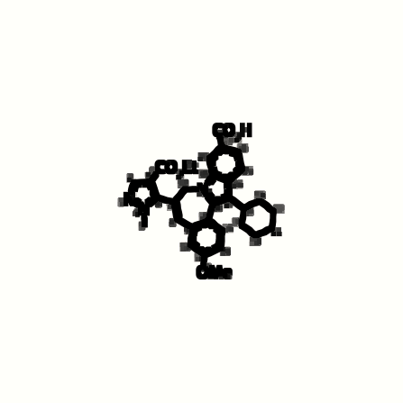 CCOC(=O)c1cnn(C)c1C1=Cc2cc(OC)ccc2-c2c(C3CCCCC3)c3ccc(C(=O)O)cc3n2C1